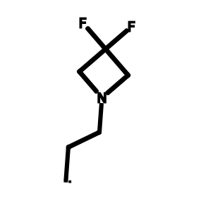 [CH2]CCN1CC(F)(F)C1